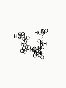 CC[C@@]1(O)C(=O)OCc2c1cc1n(c2=O)Cc2c-1nc1cc3c(cc1c2COCNC(=O)CNC(=O)[C@H](Cc1ccccc1)NC(=O)CNC(=O)CNC(=O)CCCCCN1C(=O)C=CC1O)OCO3